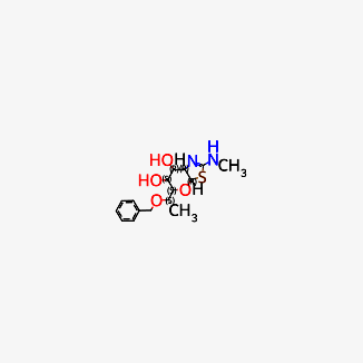 CNC1=N[C@@H]2[C@@H](O)[C@H](O)[C@@H]([C@H](C)OCc3ccccc3)O[C@@H]2S1